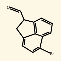 O=CC1Cc2ccc(Br)c3cccc1c23